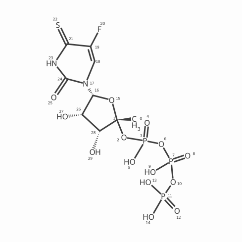 C[C@]1(OP(=O)(O)OP(=O)(O)OP(=O)(O)O)O[C@@H](n2cc(F)c(=S)[nH]c2=O)[C@@H](O)[C@H]1O